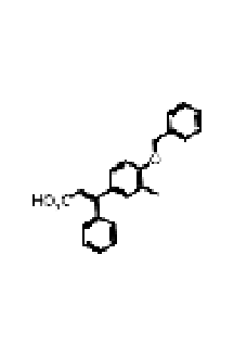 Cc1cc(C(=CC(=O)O)c2ccccc2)ccc1OCc1ccccc1